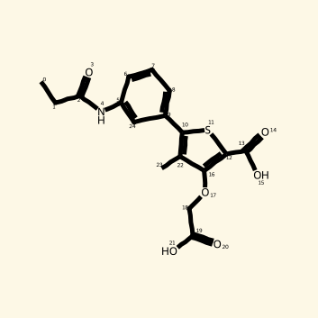 CCC(=O)Nc1cccc(-c2sc(C(=O)O)c(OCC(=O)O)c2C)c1